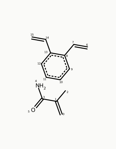 C=C(C)C(N)=O.C=Cc1ccccc1C=C